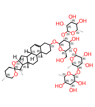 C[C@@H]1CC[C@@]2(OC1)O[C@H]1CC3[C@@H]4CC=C5C[C@@H](O[C@@H]6O[C@H](CO)[C@@H](O[C@@H]7O[C@@H](C)[C@H](O[C@@H]8O[C@@H](C)[C@H](O)[C@@H](O)[C@@H]8O)[C@@H](O)[C@H]7O)[C@H](O)[C@H]6O[C@@H]6O[C@@H](C)C(O)[C@@H](O)[C@H]6O)CC[C@]5(C)[C@H]4CC[C@]3(C)[C@H]1[C@@H]2C